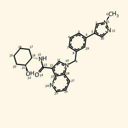 Cn1cc(-c2cccc(Cn3cc(C(=O)N[C@H]4CCCC[C@@H]4O)c4ncccc43)c2)cn1